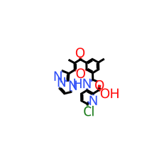 Cc1cc(C(C)Nc2ccc(Cl)nc2C(=O)O)c2oc(-c3cnn4cccnc34)c(C)c(=O)c2c1